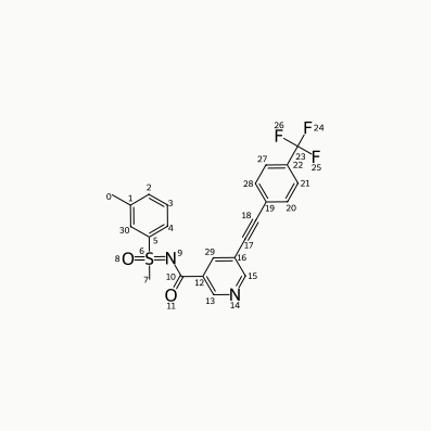 Cc1cccc(S(C)(=O)=NC(=O)c2cncc(C#Cc3ccc(C(F)(F)F)cc3)c2)c1